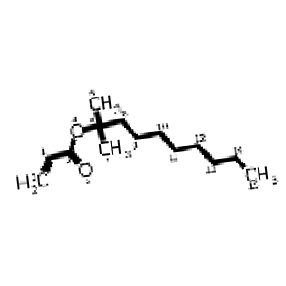 C=CC(=O)OC(C)(C)CCCCCCCC